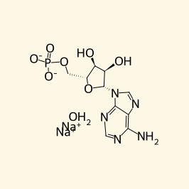 Nc1ncnc2c1ncn2[C@@H]1O[C@H](COP(=O)([O-])[O-])[C@@H](O)[C@H]1O.O.[Na+].[Na+]